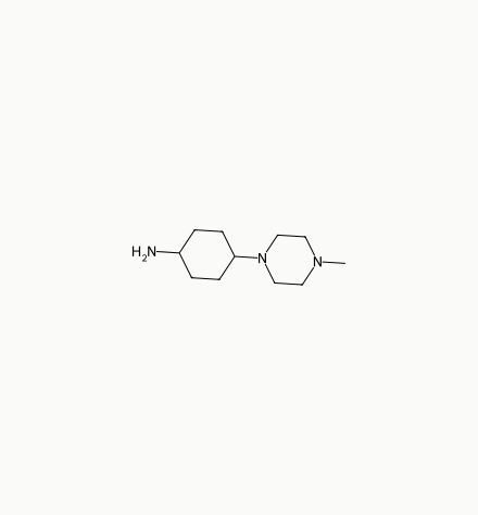 CN1CCN(C2CCC(N)CC2)CC1